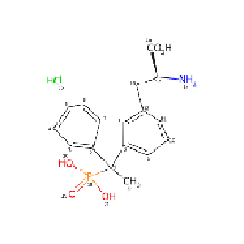 CC(c1ccccc1)(c1cccc(C[C@H](N)C(=O)O)c1)P(=O)(O)O.Cl